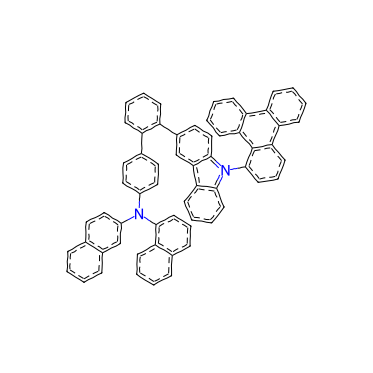 c1ccc(-c2ccc3c(c2)c2ccccc2n3-c2cccc3c4ccccc4c4ccccc4c23)c(-c2ccc(N(c3ccc4ccccc4c3)c3cccc4ccccc34)cc2)c1